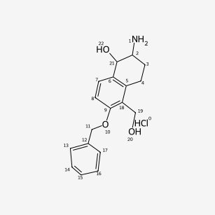 Cl.NC1CCc2c(ccc(OCc3ccccc3)c2CO)C1O